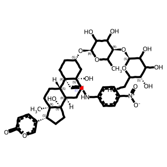 CC1O[C@@H](O[C@H]2CC[C@]3(/C=N/Nc4ccc([N+](=O)[O-])cc4)[C@H]4CC[C@]5(C)[C@@H](c6ccc(=O)oc6)CC[C@]5(O)[C@@H]4CC[C@]3(O)C2)C(O)C(O)[C@H]1O[C@@H]1OC(CO)[C@@H](O)C(O)C1O